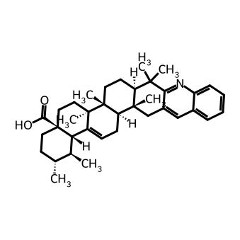 C[C@H]1[C@H](C)CC[C@]2(C(=O)O)CC[C@]3(C)C(=CC[C@@H]4[C@@]5(C)Cc6cc7ccccc7nc6C(C)(C)[C@@H]5CC[C@]43C)[C@H]12